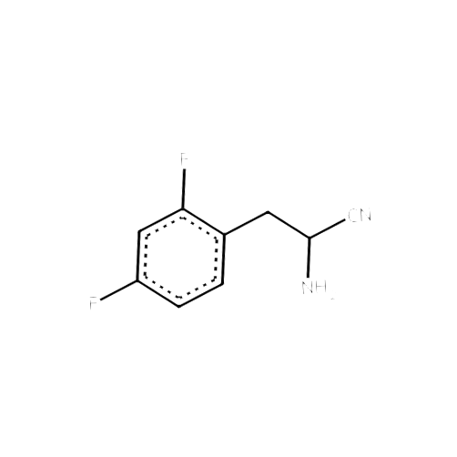 N#CC(N)Cc1ccc(F)cc1F